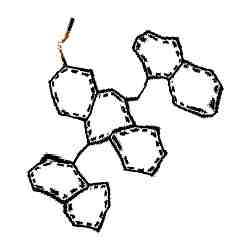 CSc1ccc2c(-c3cccc4ccccc34)c3ccccc3c(-c3cccc4ccccc34)c2c1